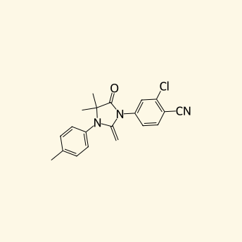 C=C1N(c2ccc(C#N)c(Cl)c2)C(=O)C(C)(C)N1c1ccc(C)cc1